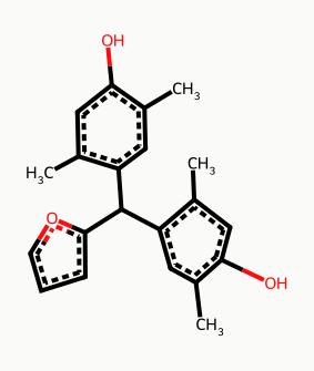 Cc1cc(C(c2ccco2)c2cc(C)c(O)cc2C)c(C)cc1O